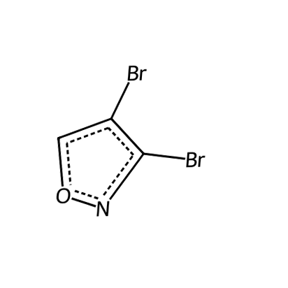 Brc1conc1Br